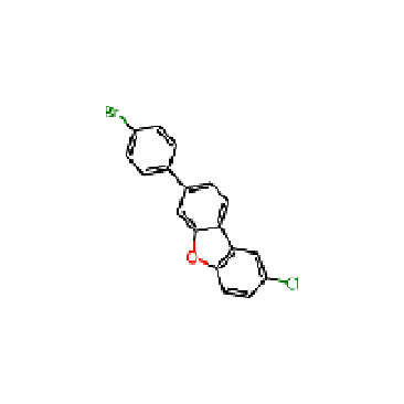 Clc1ccc2oc3cc(-c4ccc(Br)cc4)ccc3c2c1